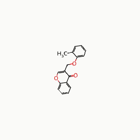 Cc1ccccc1OCc1coc2ccccc2c1=O